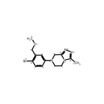 COCc1cc(N2CCn3c(C)nnc3C2)ccc1Br